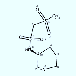 CS(=O)(=O)CS(=O)(=O)N[C@H]1CCCNC1